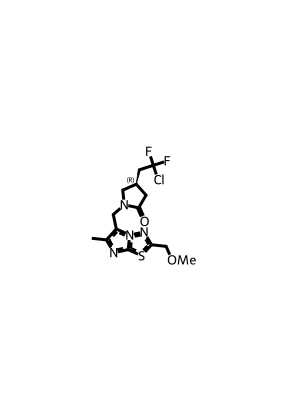 COCc1nn2c(CN3C[C@@H](CC(F)(F)Cl)CC3=O)c(C)nc2s1